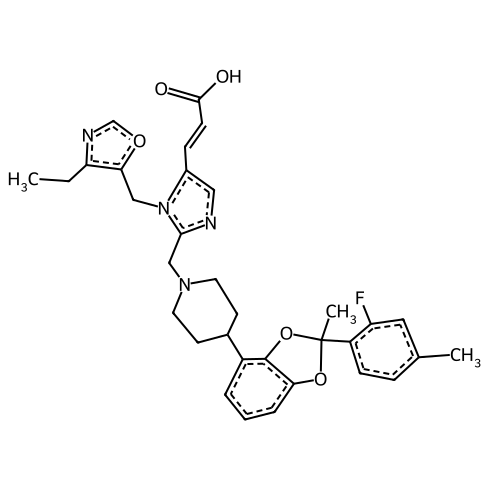 CCc1ncoc1Cn1c(/C=C/C(=O)O)cnc1CN1CCC(c2cccc3c2OC(C)(c2ccc(C)cc2F)O3)CC1